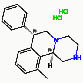 Cc1cccc2c1[C@@H]1CNCCN1C[C@H]2c1ccccc1.Cl.Cl